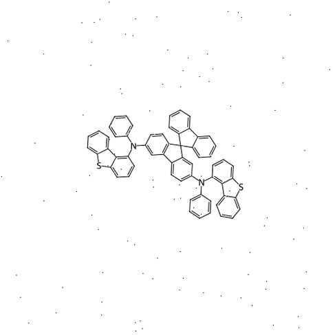 c1ccc(N(c2ccc3c(c2)-c2ccc(N(c4ccccc4)c4cccc5sc6ccccc6c45)cc2C32c3ccccc3-c3ccccc32)c2cccc3sc4ccccc4c23)cc1